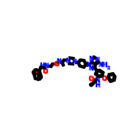 C=CC(=O)Nc1cc(-c2nn(C3CCC(N4CCN(C/C(C)=N/OCCNC(=O)CC5C6CC7CC(C6)CC5C7)CC4)CC3)c3ncnc(N)c23)ccc1Oc1ccccc1